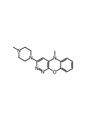 CN1CCN(c2cc3c(nn2)Oc2ccccc2N3C)CC1